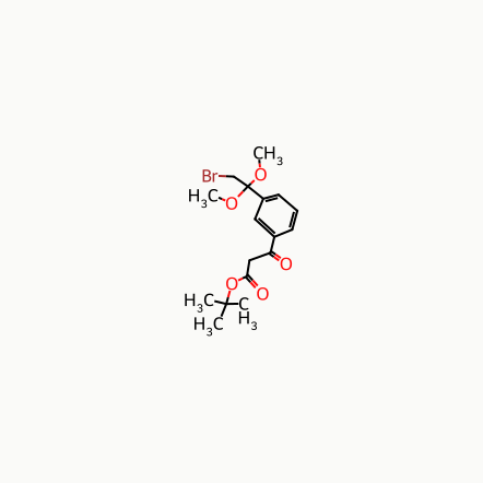 COC(CBr)(OC)c1cccc(C(=O)CC(=O)OC(C)(C)C)c1